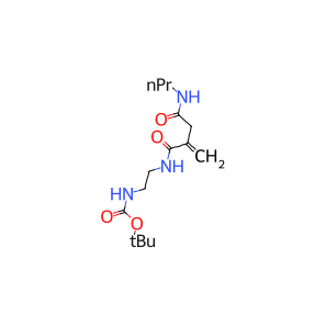 C=C(CC(=O)NCCC)C(=O)NCCNC(=O)OC(C)(C)C